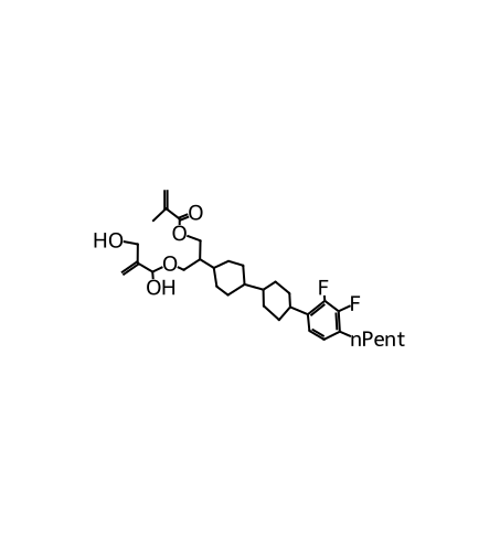 C=C(C)C(=O)OCC(COC(O)C(=C)CO)C1CCC(C2CCC(c3ccc(CCCCC)c(F)c3F)CC2)CC1